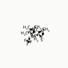 CC1N(C)N(S)C=[N+]1C.CC1N(C)N([S-])C=[N+]1C.F[B-](F)(F)F